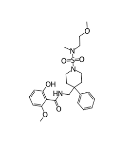 COCCN(C)S(=O)(=O)N1CCC(CNC(=O)c2c(O)cccc2OC)(c2ccccc2)CC1